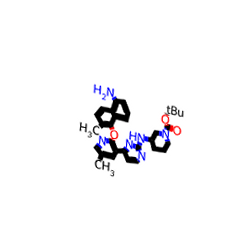 Cc1cnc(Oc2c(C)ccc3c(N)cccc23)c(-c2ccnc(NC3CCCN(C(=O)OC(C)(C)C)C3)n2)c1